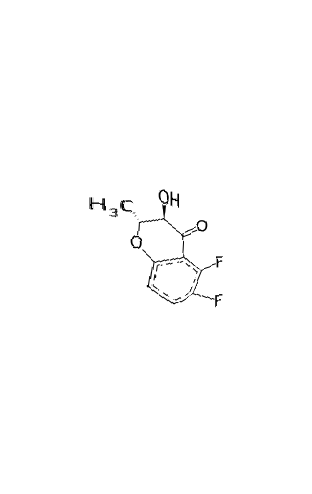 C[C@H]1Oc2ccc(F)c(F)c2C(=O)[C@@H]1O